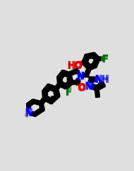 Cc1c[nH]c([C@@H](c2cc(F)ccc2O)N2Cc3ccc(-c4ccc(C5CCN(C)CC5)cc4)c(F)c3C2=O)n1